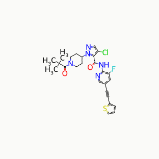 CC(C)(C)C(=O)N1CCC(n2ncc(Cl)c2C(=O)Nc2ncc(C#Cc3cccs3)cc2F)CC1